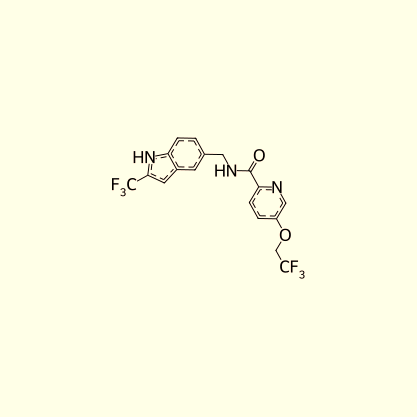 O=C(NCc1ccc2[nH]c(C(F)(F)F)cc2c1)c1ccc(OCC(F)(F)F)cn1